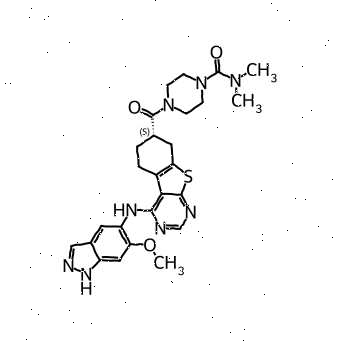 COc1cc2[nH]ncc2cc1Nc1ncnc2sc3c(c12)CC[C@H](C(=O)N1CCN(C(=O)N(C)C)CC1)C3